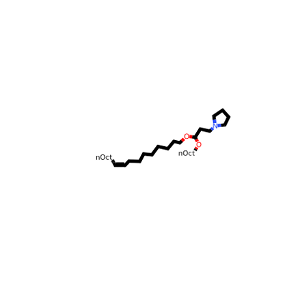 CCCCCCCC/C=C\CCCCCCCCOC(CCN1CCCC1)OCCCCCCCC